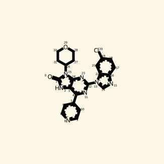 O=c1[nH]c2c(-c3ccncc3)nc(-n3cnc4ccc(Cl)cc43)nc2n1C1CCOCC1